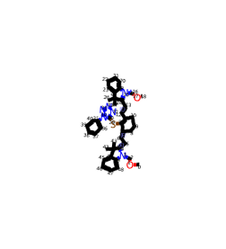 COCN1/C(=C/C=C2\CCCC(/C=C/C3=[N+](COC)c4ccccc4C3(C)C)=C2Sc2nnnn2-c2ccccc2)C(C)(C)c2ccccc21